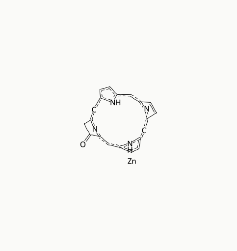 O=C1Cc2cc3ccc(cc4nc(cc5ccc(cc1n2)[nH]5)C=C4)[nH]3.[Zn]